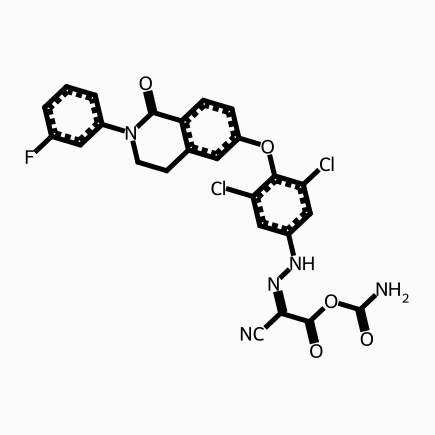 N#CC(=NNc1cc(Cl)c(Oc2ccc3c(c2)CCN(c2cccc(F)c2)C3=O)c(Cl)c1)C(=O)OC(N)=O